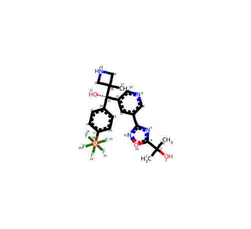 CC(C)(O)c1nc(-c2cncc([C@@](O)(c3ccc(S(F)(F)(F)(F)F)cc3)C3(C)CNC3)c2)no1